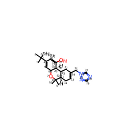 CCCCCCC(C)(C)C1=CC2OC(C)(C)[C@H]3CC=C(Cn4cncn4)CC3[C@@H]2C(O)=C1